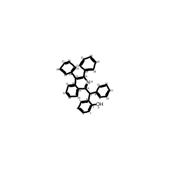 Oc1ccccc1C(c1ccccc1)c1nc(-c2ccccc2)c(-c2ccccc2)c2ccccc12